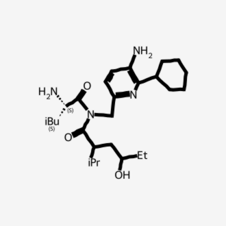 CCC(O)CC(C(=O)N(Cc1ccc(N)c(C2CCCCC2)n1)C(=O)[C@@H](N)[C@@H](C)CC)C(C)C